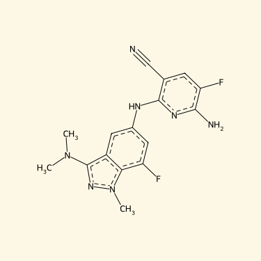 CN(C)c1nn(C)c2c(F)cc(Nc3nc(N)c(F)cc3C#N)cc12